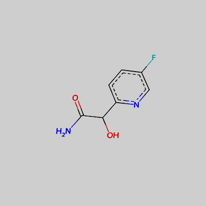 NC(=O)C(O)c1ccc(F)cn1